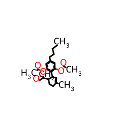 C=C(C=O)C1CCC(C)=CC1c1c(OC(C)=O)cc(CCCCC)cc1OC(C)=O